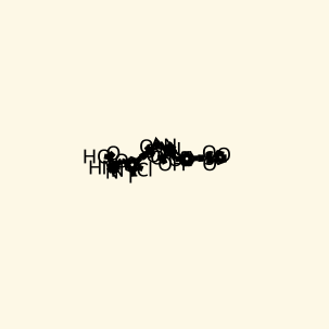 O=C(O)c1[nH]nnc1Oc1cc(F)c(Cl)c(C#CS(=O)(=O)C2CC2n2nnc(Oc3ccc(C#CS(=O)(=O)C4CCOC4)cc3)c2C(=O)O)c1